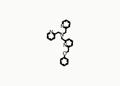 c1ccc(OCc2cccc(CN(Cc3ccccn3)Cc3ccccn3)n2)cc1